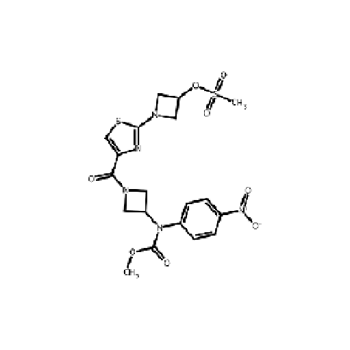 COC(=O)N(c1ccc([N+](=O)[O-])cc1)C1CN(C(=O)c2csc(N3CC(OS(C)(=O)=O)C3)n2)C1